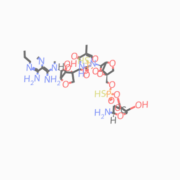 C=NC(=C(/N)N(C)[C@@H]1OC2(COP(=O)(S)OC3C4OC[C@]3(COP(=O)(S)OC3CC(O)C5COC3[C@H](N)O5)O[C@H]4n3cc(C)c(=O)[nH]c3=O)COC1[C@H]2O)/C(N)=N\CCC